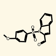 COc1ccc(S(=O)(=O)n2c(C=O)cc3ccccc32)cc1